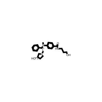 CN(c1ccc(C(=O)NCCCO)cc1)[C@H](CN1CC[C@H](O)C1)c1ccccc1